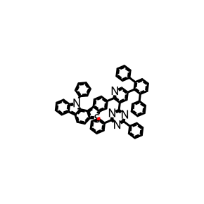 c1ccc(-c2nc(-c3ccccc3)nc(-c3cc(-c4c(-c5ccccc5)cccc4-c4ccccc4)cnc3-c3ccc4c(c3)sc3ccc5c6ccccc6n(-c6ccccc6)c5c34)n2)cc1